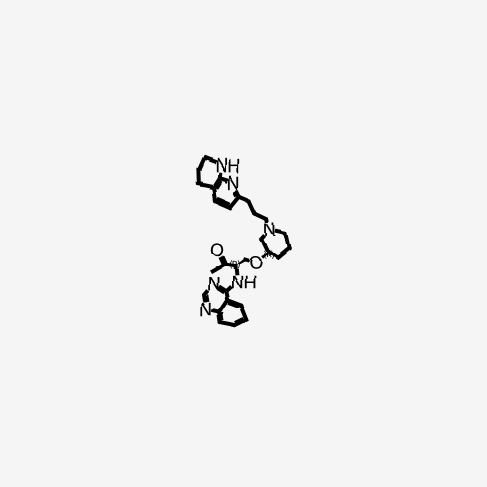 CC(=O)[C@@H](CO[C@@H]1CCCN(CCCc2ccc3c(n2)NCCC3)C1)Nc1ncnc2ccccc12